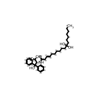 CCCCCCCC(O)(O)CCCCCC/C=C/CC(=O)N[C@@H](C(C)C)C(O)(c1ccccc1)c1ccccc1